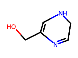 OCC1=CNCC=N1